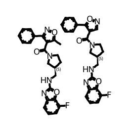 Cc1onc(-c2ccccc2)c1C(=O)N1CC[C@@H](CNc2nc3cccc(F)c3o2)C1.O=C(c1cnoc1-c1ccccc1)N1CC[C@@H](CNc2nc3cccc(F)c3o2)C1